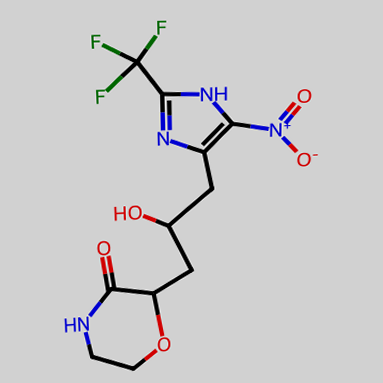 O=C1NCCOC1CC(O)Cc1nc(C(F)(F)F)[nH]c1[N+](=O)[O-]